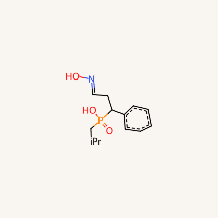 CC(C)CP(=O)(O)C(CC=NO)c1ccccc1